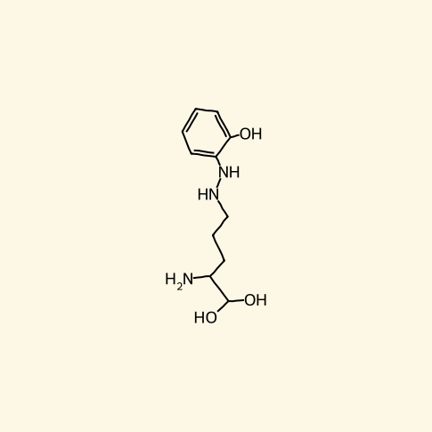 NC(CCCNNc1ccccc1O)C(O)O